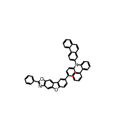 c1ccc(-c2nc3cc4oc5ccc(-c6ccc(N(c7ccc8c(ccc9ccccc98)c7)c7ccccc7-c7ccccc7)cc6)cc5c4cc3o2)cc1